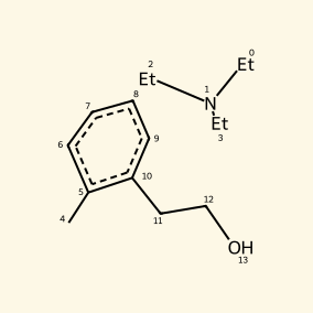 CCN(CC)CC.Cc1ccccc1CCO